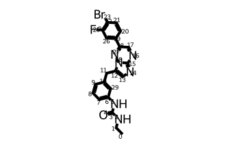 CCNC(=O)Nc1cccc(Cc2cnc3ncc(-c4ccc(Br)c(F)c4)nn23)c1